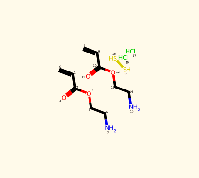 C=CC(=O)OCCN.C=CC(=O)OCCN.Cl.Cl.SS